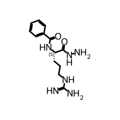 N=C(N)NCCC[C@H](NC(=O)c1ccccc1)C(=O)NN